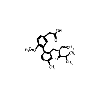 CCN(Cc1cc(C)ccc1-c1cc(CC(=O)O)ccc1OC)C(=O)C(C)C